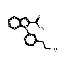 NC(=O)c1cc2ccccc2n1-c1cccc(CCC(=O)O)c1